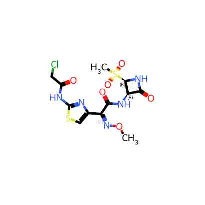 CO/N=C(\C(=O)N[C@@H]1C(=O)N[C@@H]1S(C)(=O)=O)c1csc(NC(=O)CCl)n1